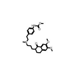 COC(=O)Nc1ccc(CCN(C)CCCC2CCc3cc(OC)c(OC)cc3C2=O)cc1